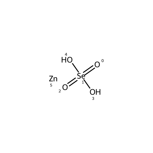 O=[Se](=O)(O)O.[Zn]